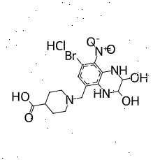 Cl.O=C(O)C1CCN(Cc2cc(Br)c([N+](=O)[O-])c3c2NC(O)C(O)N3)CC1